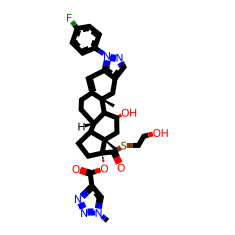 Cn1cc(C(=O)O[C@]2(C(=O)SCCO)CCC3[C@@H]4CCC5=Cc6c(cnn6-c6ccc(F)cc6)C[C@]5(C)C4[C@@H](O)C[C@@]32C)nn1